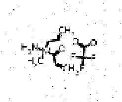 C=CC[N+](C)(N)C(=O)C=C.O=C([O-])C(F)(F)F